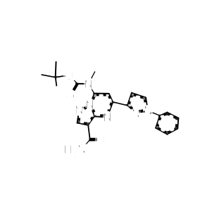 CN(C(=O)OC(C)(C)C)c1cc(-c2ccn(-c3ccccc3)n2)nc2c(C(N)=O)cnn12